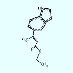 CCOC(=O)C=C(C)c1ccc2[nH]ccc2c1